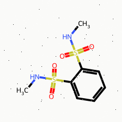 CNS(=O)(=O)c1ccccc1S(=O)(=O)NC